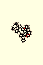 c1ccc(-n2c3ccccc3c3ccc(N(c4cccc5c4-c4ccccc4C54c5ccccc5Sc5ccccc54)c4cccc5c4-c4ccccc4C54c5ccccc5Sc5ccccc54)cc32)cc1